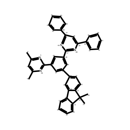 Cc1cc(C)nc(-c2cc(-c3ccc4c(c3)-c3ccccc3C4(C)C)cc(-c3nc(-c4ccccc4)cc(-c4ccccc4)n3)c2)n1